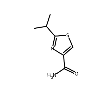 CC(C)c1nc(C(N)=O)cs1